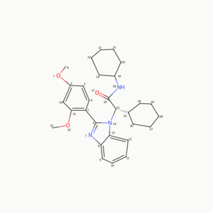 COc1ccc(-c2nc3ccccc3n2[C@H](C(=O)NC2CCCCC2)C2CCCCC2)c(OC)c1